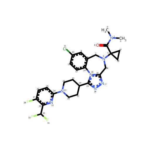 CN(C)C(=O)C1(N2Cc3cc(Cl)ccc3-n3c(nnc3C3CCN(c4ccc(F)c(C(F)F)n4)CC3)C2)CC1